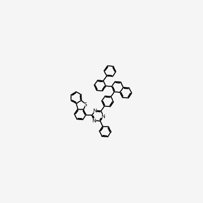 c1ccc(-c2nc(-c3ccc(-c4c(-c5ccccc5-c5ccccc5)ccc5ccccc45)cc3)nc(-c3cccc4c3sc3ccccc34)n2)cc1